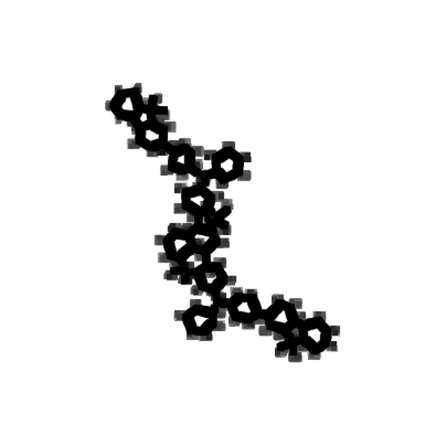 CC1(C)c2ccccc2-c2ccc(-c3ccc(N(c4ccccc4)c4ccc5c(c4)[Si](C)(C)c4cc6c7c(cccc7c4-5)[Si](C)(C)c4cc(N(c5ccccc5)c5ccc(-c7ccc8c(c7)C(C)(C)c7ccccc7-8)cc5)ccc4-6)cc3)cc21